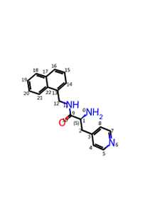 N[C@@H](Cc1ccncc1)C(=O)NCc1cccc2ccccc12